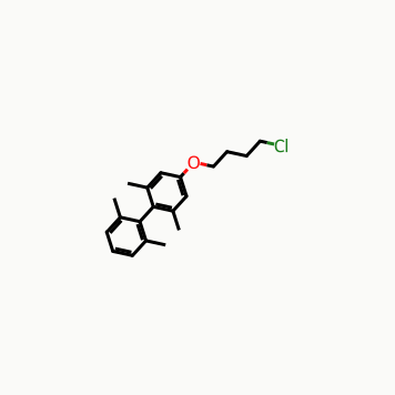 Cc1cccc(C)c1-c1c(C)cc(OCCCCCl)cc1C